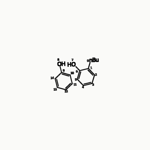 CCCCc1ccccc1O.Oc1ccccc1